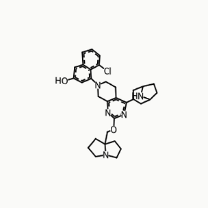 Oc1cc(N2CCc3c(nc(OCC45CCCN4CCC5)nc3C3CC4CCC(C3)N4)C2)c2c(Cl)cccc2c1